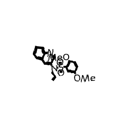 C=CCN(c1cnc2ccccc2c1)S(=O)(=O)c1cc(OC)ccc1OC